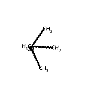 CCCCCCCCCCCCCCCCOC(=O)C(C)=C(CCCCCCCCCCCCCCCC)CCCCCCCCCCCCCCCC